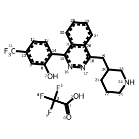 O=C(O)C(F)(F)F.Oc1cc(C(F)(F)F)ccc1-c1nnc(CC2CCCNC2)c2ccccc12